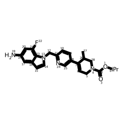 CC(C)OC(=O)N1CC=C(c2ccc(Cn3ccc4cc(N)cc(F)c43)nc2)C(C)C1